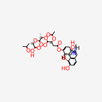 CC(=O)C[C@H](OC(=O)[C@H](C)OC(=O)[C@H](CC(=O)OC1=CC[C@@]2(O)[C@H]3Cc4ccc(O)c5c4[C@@]2(CCN3C)[C@H]1O5)OC(C)=O)C(=O)O